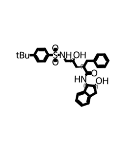 CC(C)(C)c1ccc(S(=O)(=O)NC[C@@H](O)C[C@@H](Cc2ccccc2)C(=O)N[C@H]2c3ccccc3C[C@H]2O)cc1